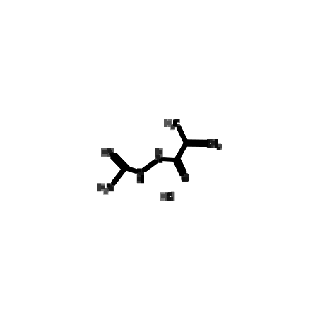 C=C(C)C(=O)NNC(=N)N.Cl